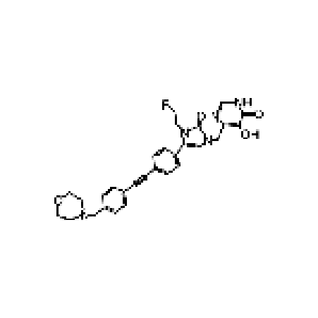 O=c1[nH]cnc(Cn2cc(-c3ccc(C#Cc4ccc(CN5CCOCC5)cc4)cc3)n(CCF)c2=O)c1O